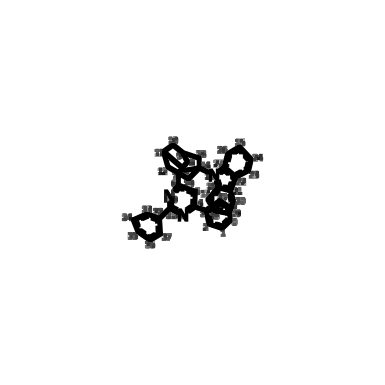 c1ccc(-c2cc(C34CC5CC(C3)CC(n3c6ccccc6c6ccccc63)(C5)C4)nc(-c3ccccc3)n2)cc1